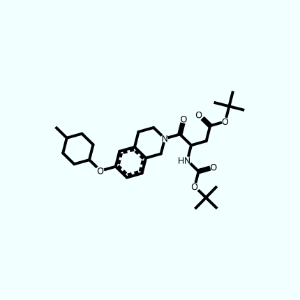 CC1CCC(Oc2ccc3c(c2)CCN(C(=O)C(CC(=O)OC(C)(C)C)NC(=O)OC(C)(C)C)C3)CC1